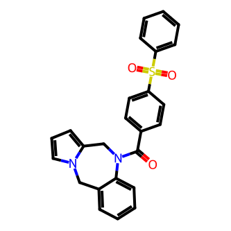 O=C(c1ccc(S(=O)(=O)c2ccccc2)cc1)N1Cc2cccn2Cc2ccccc21